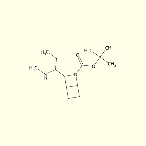 CCC(NC)C1C2CCC2N1C(=O)OC(C)(C)C